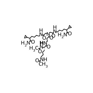 CC(=O)NCCCC[C@H](NC(C)=O)C(=O)NCCC(=O)N(CC(=O)NCCCCC(C(N)=O)C1CC1)CC(=O)NCCCCC(C(N)=O)C1CC1